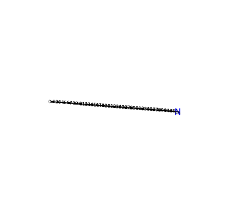 C#CC#CC#CC#CC#CC#CC#CC#CC#CC#CC#CC#CC#CC#CC#CC#CC#CC#CC#CC#CC#CC#CC#N